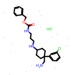 Cl.NCC1(c2cccc(Cl)c2)CCC(NCCCNC(=O)OCc2ccccc2)CC1